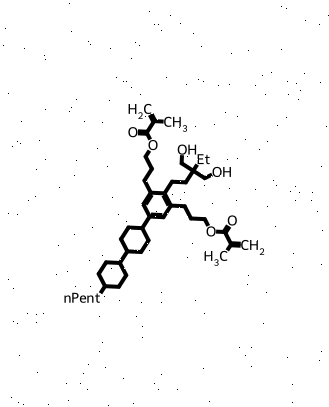 C=C(C)C(=O)OCCCc1cc(C2CCC(C3CCC(CCCCC)CC3)CC2)cc(CCCOC(=O)C(=C)C)c1CCC(CC)(CO)CO